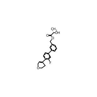 C[C@H](O)C(=O)OCc1cccc(-c2ccc(C3=CCOCC3)c(F)c2)c1